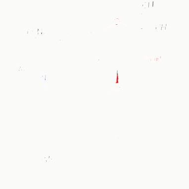 COc1ccc(N(C(C)=O)c2cc3c(cc2[N+](=O)[O-])OC(C)(C)[C@H](O)[C@H]3OCc2ccccc2)cc1